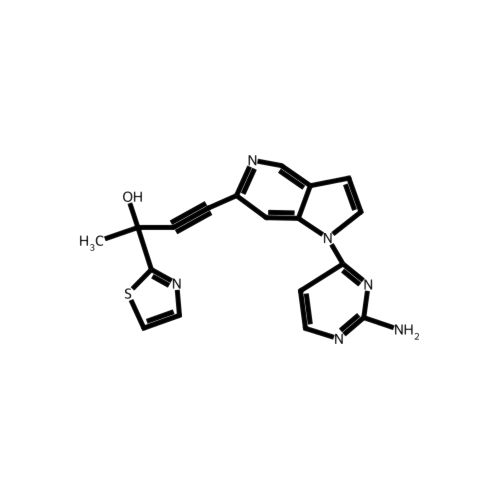 CC(O)(C#Cc1cc2c(ccn2-c2ccnc(N)n2)cn1)c1nccs1